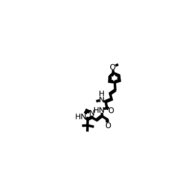 CN/C(=C\C=C\c1ccc(OC)cc1)C(=O)N/C(C=O)=C\c1nc[nH]c1C(C)(C)C